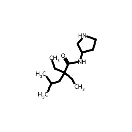 CCC(CC)(CC(C)C)C(=O)NC1CCNC1